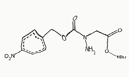 CC(C)(C)OC(=O)CN(N)C(=O)OCc1ccc([N+](=O)[O-])cc1